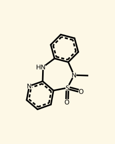 CN1c2ccccc2Nc2ncccc2S1(=O)=O